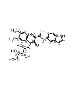 Cc1cc2nc(C(=O)Nc3ccc4[nH]ccc4c3)c(=O)n(C[C@H](O)[C@H](O)[C@H](O)CO)c2cc1C